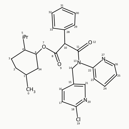 CC1CCC(C(C)C)C(OC(=O)C(C(=O)N(Cc2ccc(Cl)nc2)c2ccccn2)c2ccccc2)C1